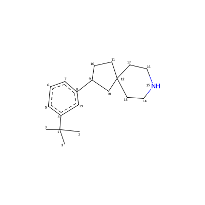 CC(C)(C)c1cccc(C2CCC3(CCNCC3)C2)c1